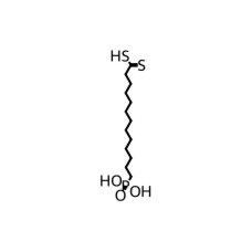 O=P(O)(O)CCCCCCCCCCCCC(=S)S